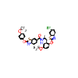 C[C@H](Cc1cc(OC(F)(F)F)ccc1Oc1nc2ccc(Br)cc2s1)NC(=O)c1ccc2nc(Oc3ccc(OC(F)(F)F)cc3)sc2c1